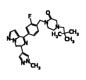 Cn1cc(-c2cn3nccc3c(-c3ccc(CN4CCN(CC(C)(C)C)CC4=O)c(F)c3)n2)cn1